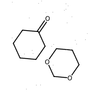 C1COCOC1.O=C1CCCCC1